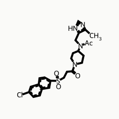 CC(=O)N(Cc1[nH]cnc1C)C1CCN(C(=O)CCS(=O)(=O)c2ccc3cc(Cl)ccc3c2)CC1